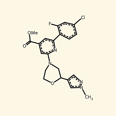 COC(=O)c1cc(-c2ccc(Cl)cc2F)nc(N2CCOC(c3cnn(C)c3)C2)c1